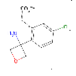 CCOC(=O)Cc1cc(Cl)ccc1C1(N)COC1